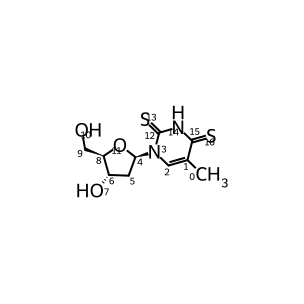 Cc1cn([C@H]2C[C@H](O)[C@@H](CO)O2)c(=S)[nH]c1=S